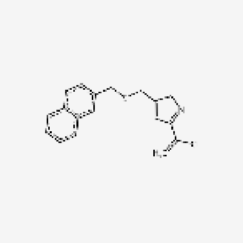 C=C(Cl)C1=NCC(CSCc2ccc3ccccc3c2)=C1